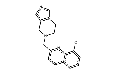 Clc1cccc2ccc(CN3CCn4cncc4C3)nc12